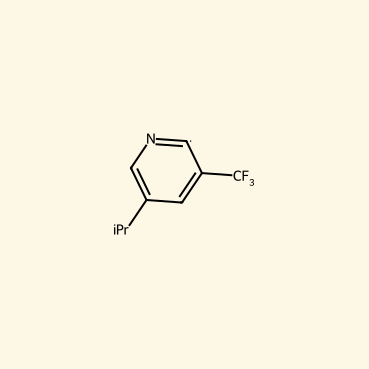 CC(C)c1cn[c]c(C(F)(F)F)c1